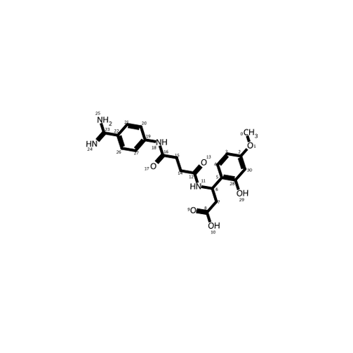 COc1ccc(C(CC(=O)O)NC(=O)CCC(=O)Nc2ccc(C(=N)N)cc2)c(O)c1